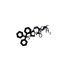 C=CCOC(=O)N1C[C@@H](SC(c2ccccc2)(c2ccccc2)c2ccccc2)C[C@H]1/C=C\C(=O)O